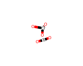 [O]=[Cr](=[O])=[O].[O]=[Ti]=[O]